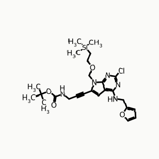 CC(C)(C)OC(=O)NCC#Cc1cc2c(NCc3ccco3)nc(Cl)nc2n1COCC[Si](C)(C)C